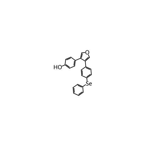 Oc1ccc(-c2cocc2-c2ccc([Se]c3ccccc3)cc2)cc1